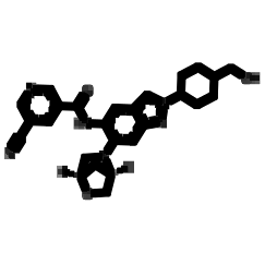 N#Cc1cncc(C(=O)Nc2cc3cn(C4CCC(CO)CC4)nc3cc2N2C[C@H]3C[C@@H]2CO3)c1